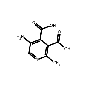 Cc1ncc(N)c(C(=O)O)c1C(=O)O